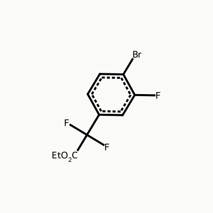 CCOC(=O)C(F)(F)c1ccc(Br)c(F)c1